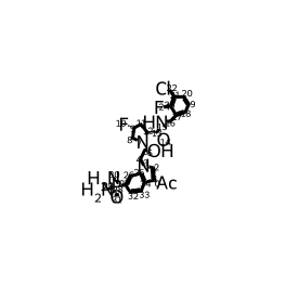 CC(=O)c1cn(CC(O)N2C[C@H](F)C[C@H]2C(=O)NCc2cccc(Cl)c2F)c2cc(P(N)(N)=O)ccc12